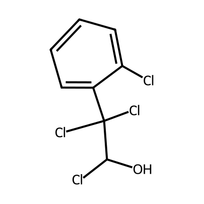 OC(Cl)C(Cl)(Cl)c1ccccc1Cl